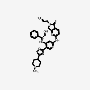 C=CCN1Cc2nc(Nc3cc(N[C@H](CO)c4ccccc4)c(-c4nc(C5CCN(C)CC5)no4)cn3)ccc2C1=O